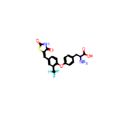 NC(Cc1ccc(Oc2ccc(C=C3SC(=O)NC3=O)cc2C(F)(F)F)cc1)C(=O)O